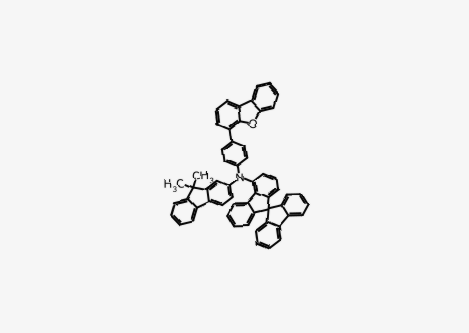 CC1(C)c2ccccc2-c2ccc(N(c3ccc(-c4cccc5c4oc4ccccc45)cc3)c3cccc4c3-c3ccccc3C43c4ccccc4-c4ccccc43)cc21